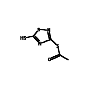 CC(=O)Sc1nsc(S)n1